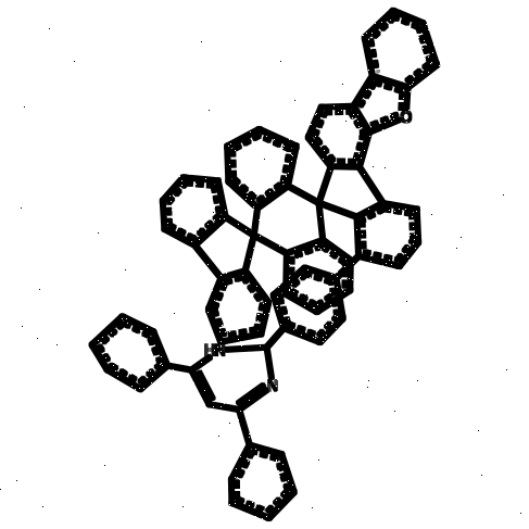 C1=C(c2ccccc2)NC(c2ccc(-c3cccc4c3C3(c5ccccc5C5(c6ccccc6-c6ccccc65)c5ccccc53)c3ccc5c(oc6ccccc65)c3-4)cc2)N=C1c1ccccc1